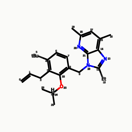 C=CCc1c(C(C)(C)C)ccc(Cn2c(CC)nc3c(C)cc(C)nc32)c1O[SiH](C)C